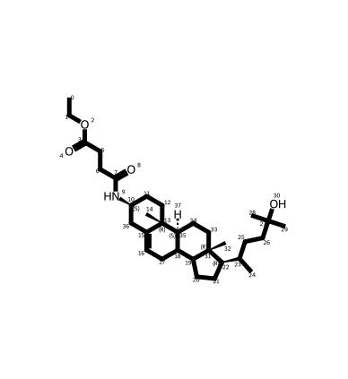 CCOC(=O)CCC(=O)N[C@H]1CC[C@@]2(C)C(=CCC3C4CC[C@H](C(C)CCC(C)(C)O)[C@@]4(C)CC[C@@H]32)C1